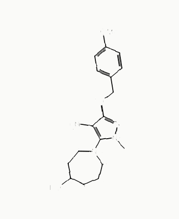 COc1ccc(COc2nn(C)c(N3CCCC(O)CC3)c2[N+](=O)[O-])cc1